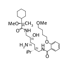 COCCCCOc1ccccc1C(=O)NC[C@@H](C[C@H](N)[C@@H](O)CNC(=O)[C@](C)(OC)C1CCCCC1)C(C)C